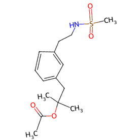 CC(=O)OC(C)(C)Cc1cccc(CCNS(C)(=O)=O)c1